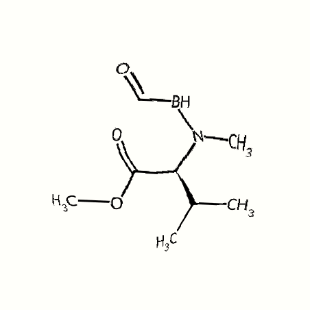 COC(=O)[C@H](C(C)C)N(C)BC=O